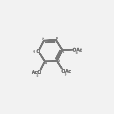 CC(=O)OC1=C(OC(C)=O)C(OC(C)=O)OC=C1